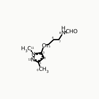 Cc1cc(OCCCNC=O)n(C)n1